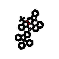 CC(C)(C)c1ccc(N(c2ccc3c(c2)-c2ccccc2C3(c2ccccc2)c2ccccc2)c2ccc3ccccc3c2-c2cccc3c2sc2ccccc23)c2ccccc12